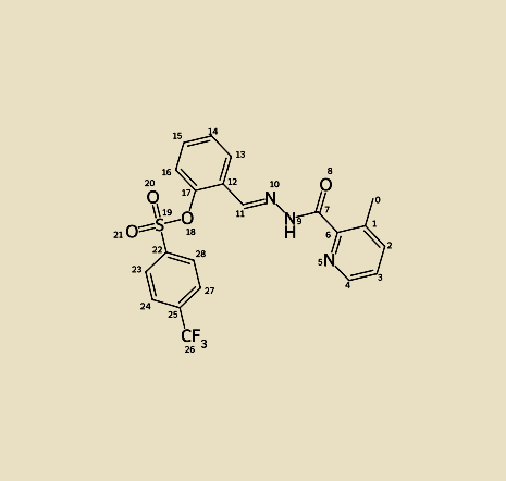 Cc1cccnc1C(=O)NN=Cc1ccccc1OS(=O)(=O)c1ccc(C(F)(F)F)cc1